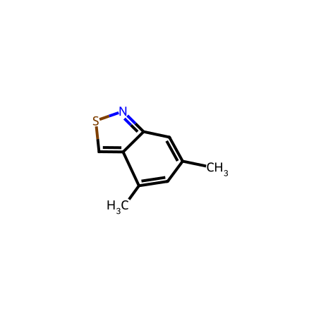 Cc1cc(C)c2csnc2c1